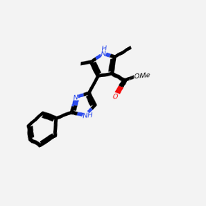 COC(=O)c1c(C)[nH]c(C)c1-c1c[nH]c(-c2ccccc2)n1